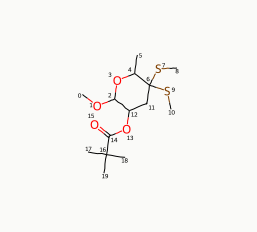 COC1OC(C)C(SC)(SC)CC1OC(=O)C(C)(C)C